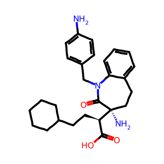 Nc1ccc(CN2C(=O)[C@](N)([C@H](CCC3CCCCC3)C(=O)O)CCc3ccccc32)cc1